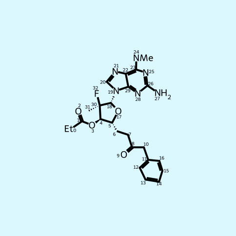 CCC(=O)O[C@@H]1[C@@H](CCC(=O)Cc2ccccc2)O[C@@H](n2cnc3c(NC)nc(N)nc32)[C@]1(C)F